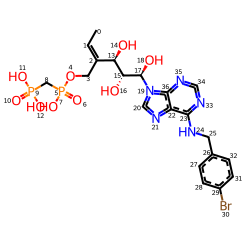 C/C=C(/COP(=O)(O)CP(=O)(O)O)[C@@H](O)[C@@H](O)[C@@H](O)n1cnc2c(NCc3ccc(Br)cc3)ncnc21